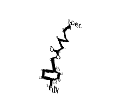 CCCCCCCCCCCCCCCC(=O)OCc1ccc(CCC)cc1